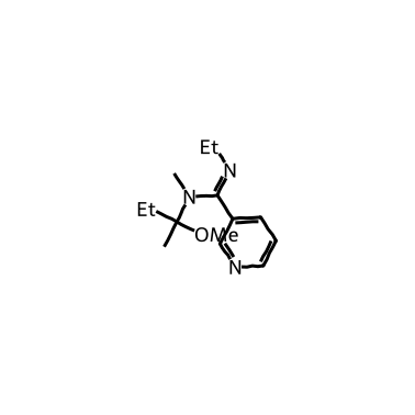 CC/N=C(/c1cccnc1)N(C)C(C)(CC)OC